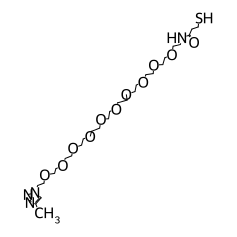 Cc1cn(CCOCCOCCOCCOCCOCCOCCOCCOCCOCCOCCNC(=O)CCS)nn1